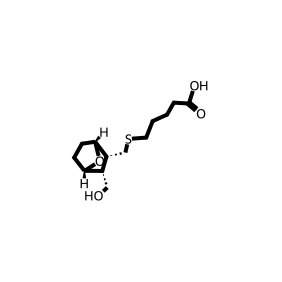 O=C(O)CCCCSC[C@@H]1[C@H](CO)[C@@H]2CC[C@H]1O2